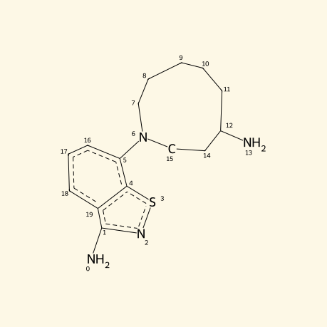 Nc1nsc2c(N3CCCCCC(N)CC3)cccc12